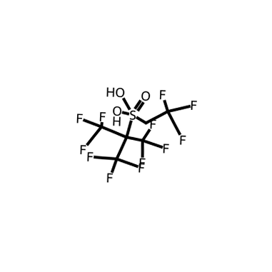 O=S(O)(O)(CC(F)(F)F)C(C(F)(F)F)(C(F)(F)F)C(F)(F)F